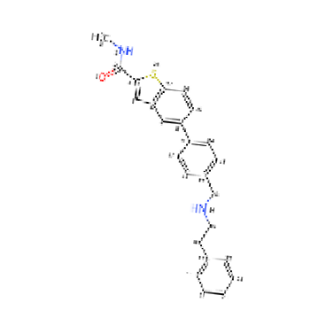 CNC(=O)c1cc2cc(-c3ccc(CNCCc4ccccc4)cc3)ccc2s1